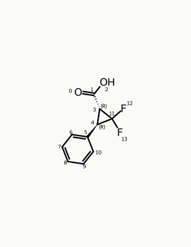 O=C(O)[C@H]1[C@H](c2ccccc2)C1(F)F